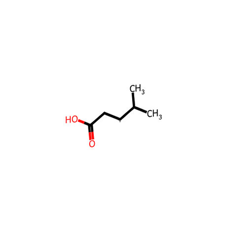 CC(C)[CH]CC(=O)O